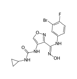 O=C(Nc1conc1/C(=N/O)Nc1ccc(F)c(Br)c1)NC1CC1